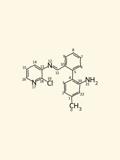 Cc1ccc(-c2ccccc2C=Nc2cccnc2Cl)c(N)c1